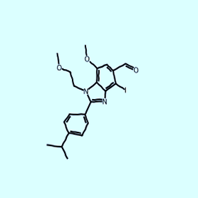 COCCn1c(-c2ccc(C(C)C)cc2)nc2c(I)c(C=O)cc(OC)c21